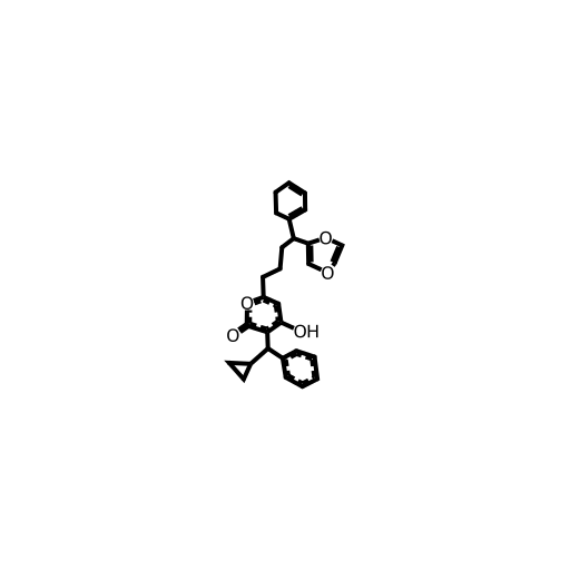 O=c1oc(CCCC(C2=CC=CCC2)C2=COC=CO2)cc(O)c1C(c1ccccc1)C1CC1